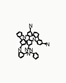 N#Cc1ccc(-c2ccc(-c3nc(-c4ccccc4)nc(-c4ccccc4)n3)cc2-n2c3ccccc3c3cc(C#N)ccc32)c(-n2c3ccccc3c3cc(C#N)ccc32)c1